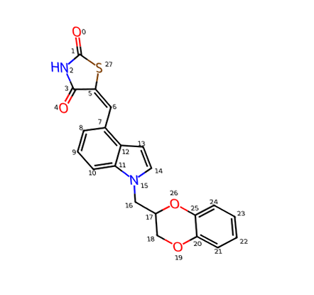 O=C1NC(=O)C(=Cc2cccc3c2ccn3CC2COc3ccccc3O2)S1